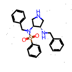 O=S(=O)(c1ccccc1)N(Cc1ccccc1)[C@H]1CNC[C@@H]1NCc1ccccc1